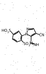 N#Cc1cnn(-c2cc(S(=O)(=O)O)ccc2S(=O)(=O)O)c1N=N